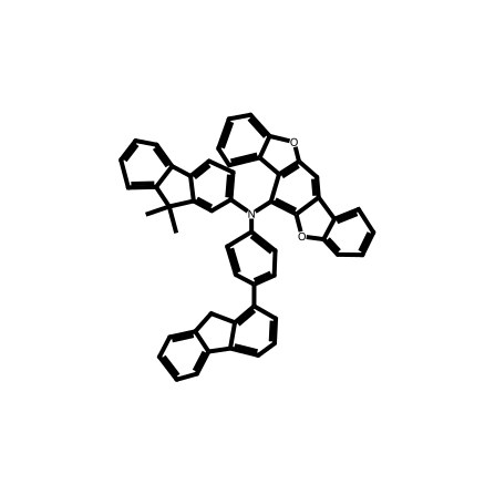 CC1(C)c2ccccc2-c2ccc(N(c3ccc(-c4cccc5c4Cc4ccccc4-5)cc3)c3c4oc5ccccc5c4cc4oc5ccccc5c34)cc21